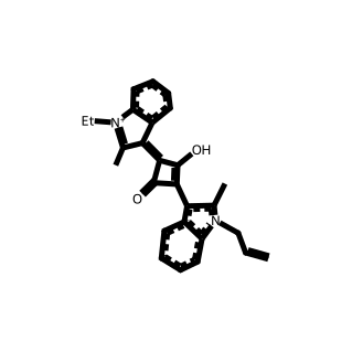 C=CCn1c(C)c(C2=C(O)/C(=C3/C(C)=[N+](CC)c4ccccc43)C2=O)c2ccccc21